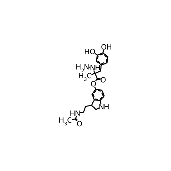 CC(=O)NCCC1CNc2ccc(OC(=O)C(C)(Cc3ccc(O)c(O)c3)NN)cc21